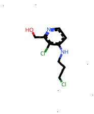 OCc1nccc(NCCCCl)c1Cl